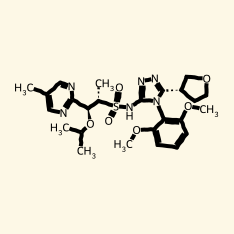 COc1cccc(OC)c1-n1c(NS(=O)(=O)[C@@H](C)[C@@H](OC(C)C)c2ncc(C)cn2)nnc1[C@H]1CCOC1